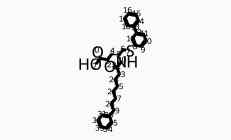 O=C(O)CC[C@@H](CSc1cccc(-c2ccccc2)c1)NC(=O)CCCCCCCc1ccccc1